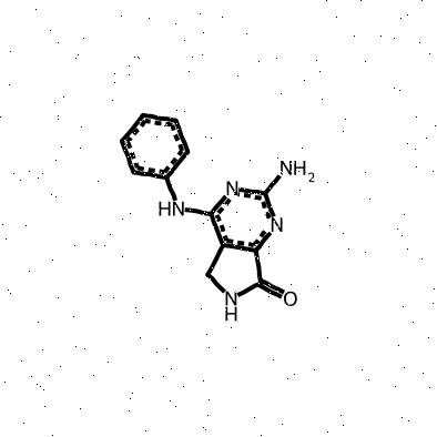 Nc1nc(Nc2ccccc2)c2c(n1)C(=O)NC2